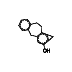 Oc1cc2c(c3c1C3)CCc1ccccc1C2